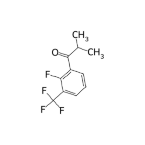 CC(C)C(=O)c1cccc(C(F)(F)F)c1F